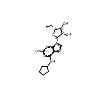 O[C@@H]1[C@H](O)[C@@H](CI)O[C@H]1n1cnc2c(NC3CCCC3)nc(Cl)nc21